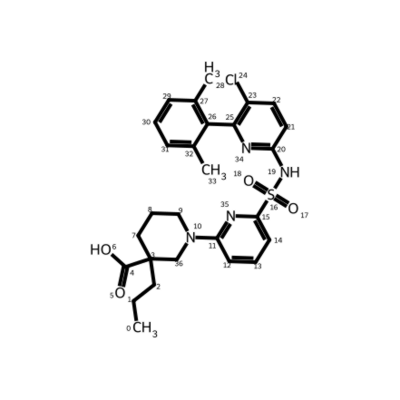 CCCC1(C(=O)O)CCCN(c2cccc(S(=O)(=O)Nc3ccc(Cl)c(-c4c(C)cccc4C)n3)n2)C1